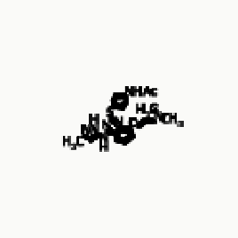 CC(=O)Nc1ccc(Sc2nc(Nc3cc(C)n[nH]3)c3cccc(OCCCN(C)C)c3n2)cc1